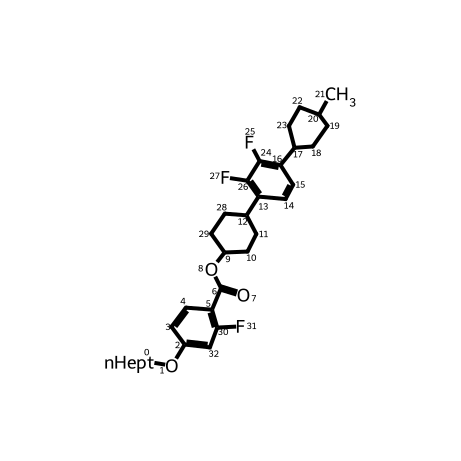 CCCCCCCOc1ccc(C(=O)OC2CCC(c3ccc(C4CCC(C)CC4)c(F)c3F)CC2)c(F)c1